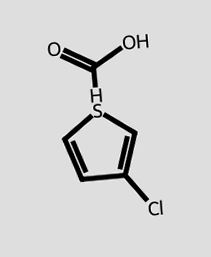 O=C(O)[SH]1C=CC(Cl)=C1